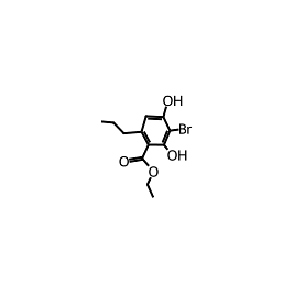 CCCc1cc(O)c(Br)c(O)c1C(=O)OCC